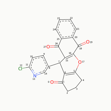 O=C1CCCC2=C1C(c1ccc(Cl)nc1)C1=C(O2)C(=O)c2ccccc2C1=O